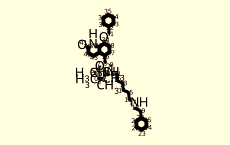 CC(C)(C)[Si](C)(C)O[C@@H](CNCCCCCCNCCc1ccccc1)c1ccc(OCc2ccccc2)c2[nH]c(=O)ccc12